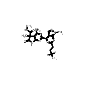 Cn1ncc2c(-c3nc(N)c4c(n3)NC(=O)C4(C)C(=O)NN)nc(CCC(F)(F)C(F)(F)F)nc21